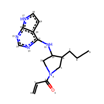 C=CC(=O)N1CC(CCC)C(Nc2ncnc3[nH]ccc23)C1